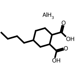 CCCCC1CCC(C(=O)O)C(C(=O)O)C1.[AlH3]